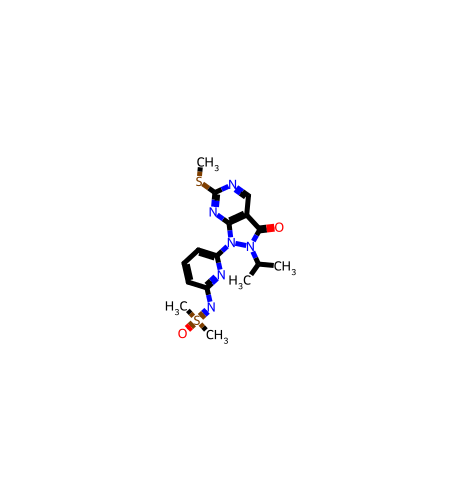 CSc1ncc2c(=O)n(C(C)C)n(-c3cccc(N=S(C)(C)=O)n3)c2n1